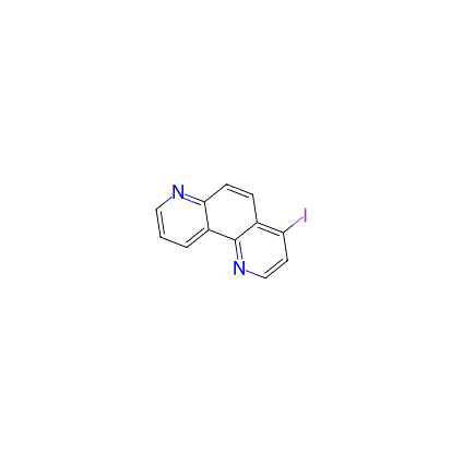 Ic1ccnc2c1ccc1ncccc12